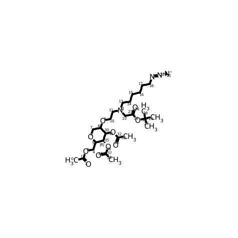 CC(=O)OCC1OCC(OCCN(CCCCCCN=[N+]=[N-])CC(=O)OC(C)(C)C)C(OC(C)=O)[C@@H]1OC(C)=O